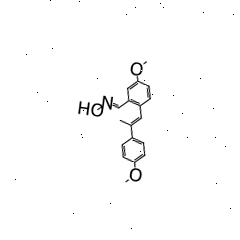 COc1ccc(/C(C)=C/c2ccc(OC)cc2/C=N/O)cc1